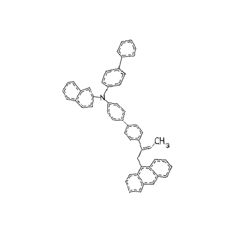 C/C=C(/Cc1c2ccccc2cc2ccccc12)c1ccc(-c2ccc(N(c3ccc(-c4ccccc4)cc3)c3ccc4ccccc4c3)cc2)cc1